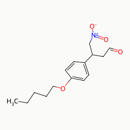 CCCCCOc1ccc(C(CC=O)C[N+](=O)[O-])cc1